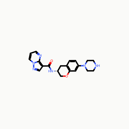 O=C(N[C@H]1COc2cc(N3CCNCC3)ccc2C1)c1cnn2cccnc12